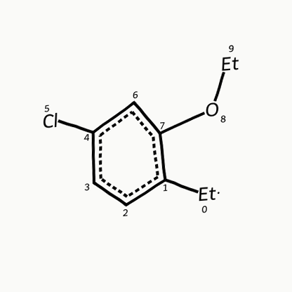 C[CH]c1ccc(Cl)cc1OCC